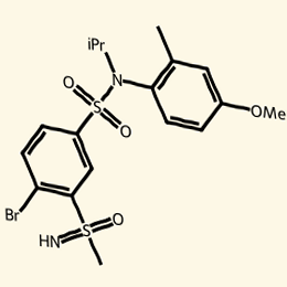 COc1ccc(N(C(C)C)S(=O)(=O)c2ccc(Br)c(S(C)(=N)=O)c2)c(C)c1